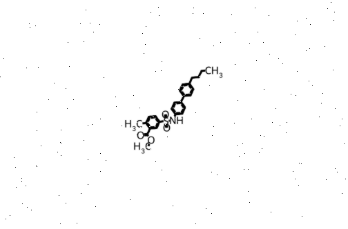 CCCCc1ccc(-c2ccc(NS(=O)(=O)c3ccc(C)c(C(=O)OC)c3)cc2)cc1